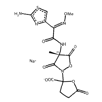 CON=C(C(=O)N[C@]1(C)C(=O)ON(C2(C(=O)[O-])CCC(=O)O2)C1=O)c1csc(N)n1.[Na+]